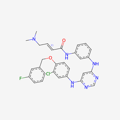 CN(C)C/C=C/C(=O)Nc1cccc(Nc2cc(Nc3ccc(OCc4cccc(F)c4)c(Cl)c3)ncn2)c1